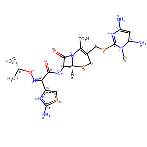 CCN1C(SCC2=C(C(=O)O)N3C(=O)C(NC(=O)/C(=N\O[C@H](C)C(=O)O)c4csc(N)n4)[C@@H]3SC2)=NC(N)=CC1N